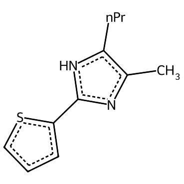 CCCc1[nH]c(-c2cccs2)nc1C